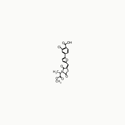 COC(=O)C(C)N1C(=O)SC(=Cc2ccc(-c3ccc(C(=O)O)c(Cl)c3)o2)C1=O